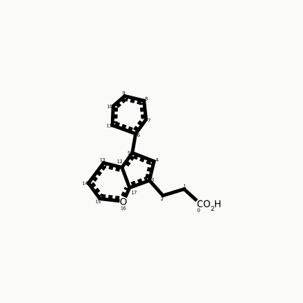 O=C(O)CCc1cc(-c2ccccc2)c2cccoc1-2